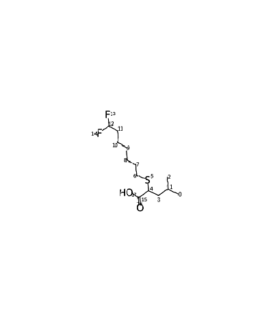 CC(C)CC(SCCCCCCC(F)F)C(=O)O